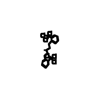 ClC(Cl)(Cl)c1ccccc1CC[CH]CCc1ccccc1C(Cl)(Cl)Cl